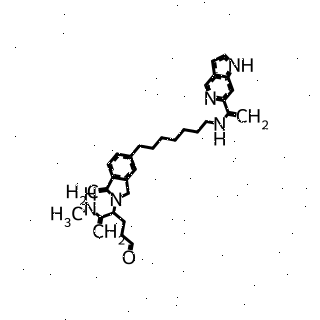 C=C(NCCCCCCCc1ccc2c(c1)CN(C(CCC=O)C(=C)NC)C2=C)c1cc2[nH]ccc2cn1